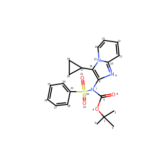 CC(C)(C)OC(=O)N(c1nc2ccccn2c1C1CC1)S(=O)(=O)c1ccccc1